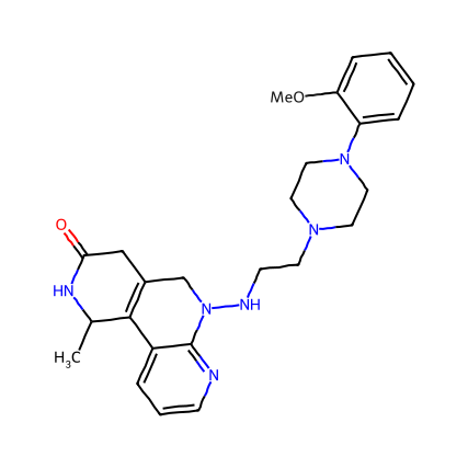 COc1ccccc1N1CCN(CCNN2CC3=C(c4cccnc42)C(C)NC(=O)C3)CC1